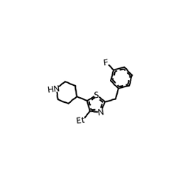 CCc1nc(Cc2cccc(F)c2)sc1C1CCNCC1